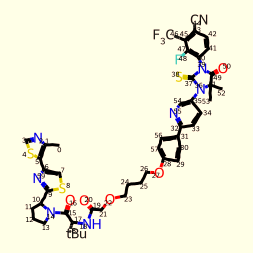 Cc1ncsc1-c1csc(C2CCCN2C(=O)C(NC(=O)COCCCCOc2ccc(-c3ccc(N4C(=S)N(c5ccc(C#N)c(C(F)(F)F)c5F)C(=O)C4(C)C)cn3)cc2)C(C)(C)C)n1